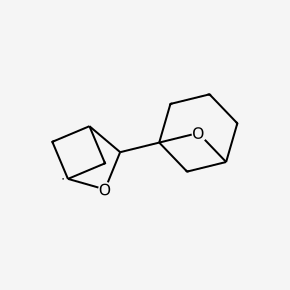 C1CC2CC(C3O[C]4CC3C4)(C1)O2